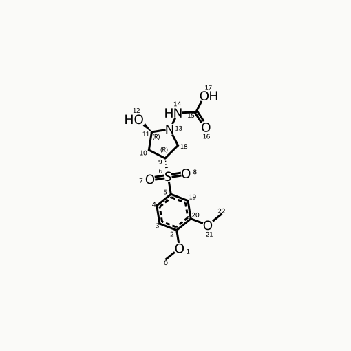 COc1ccc(S(=O)(=O)[C@@H]2C[C@@H](O)N(NC(=O)O)C2)cc1OC